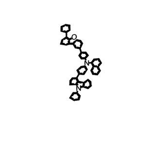 c1ccc(-c2cccc3c2oc2ccc(-c4ccc(N(c5ccc(-c6cccc7c6c6ccccc6n7-c6ccccc6)cc5)c5cccc6ccccc56)cc4)cc23)cc1